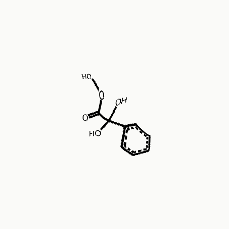 O=C(OO)C(O)(O)c1ccccc1